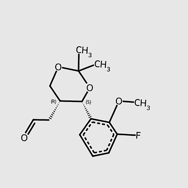 COc1c(F)cccc1[C@H]1OC(C)(C)OC[C@H]1CC=O